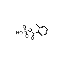 Cc1ccccc1C(=O)OS(=O)(=O)O